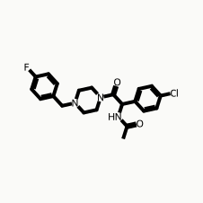 CC(=O)NC(C(=O)N1CCN(Cc2ccc(F)cc2)CC1)c1ccc(Cl)cc1